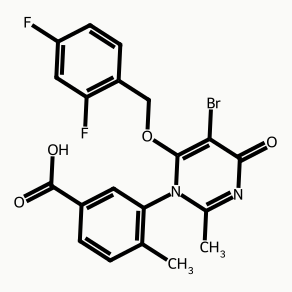 Cc1ccc(C(=O)O)cc1-n1c(C)nc(=O)c(Br)c1OCc1ccc(F)cc1F